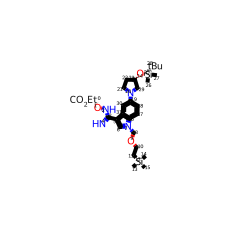 CCOC(=O)ONC(=N)c1cn(COCC[Si](C)(C)C)c2ccc(N3CC[C@H](O[Si](C)(C)C(C)(C)C)C3)cc12